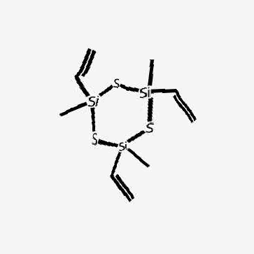 C=C[Si]1(C)S[Si](C)(C=C)S[Si](C)(C=C)S1